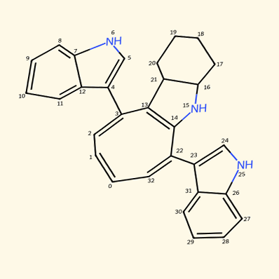 C1=CC=C(c2c[nH]c3ccccc23)C2=C(NC3CCCCC23)C(c2c[nH]c3ccccc23)=C1